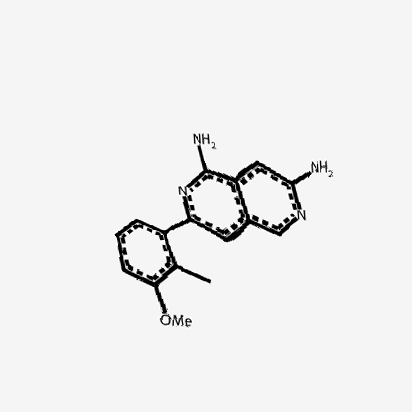 COc1cccc(-c2cc3cnc(N)cc3c(N)n2)c1C